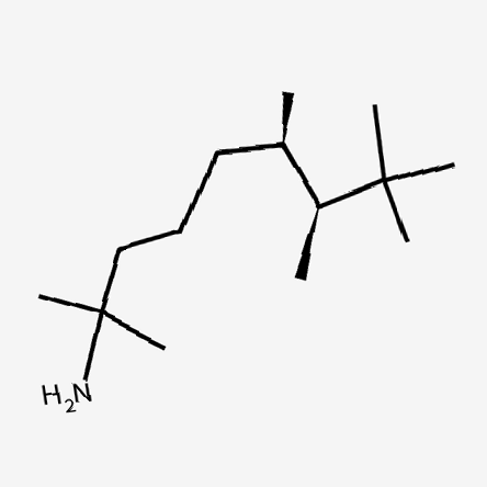 C[C@H](CCCC(C)(C)N)[C@H](C)C(C)(C)C